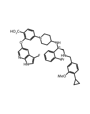 COc1cc(CNC[C@H](NC2CCN(c3ccc(C(=O)O)c(Oc4cnc5[nH]cc(F)c5c4)c3)CC2)c2ccccc2C(C)C)ccc1C1CC1